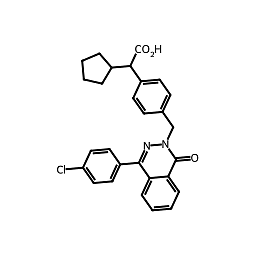 O=C(O)C(c1ccc(Cn2nc(-c3ccc(Cl)cc3)c3ccccc3c2=O)cc1)C1CCCC1